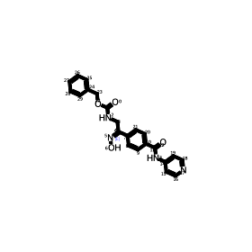 O=C(NC/C(=N/O)c1ccc(C(=O)Nc2ccncc2)cc1)OCc1ccccc1